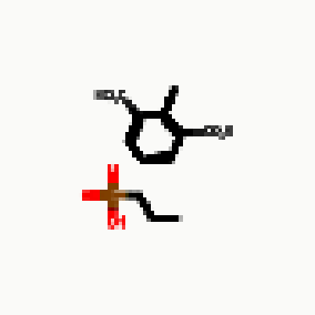 CCCS(=O)(=O)O.Cc1c(C(=O)O)cccc1C(=O)O